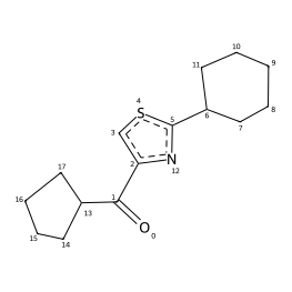 O=C(c1csc(C2CCCCC2)n1)C1CCCC1